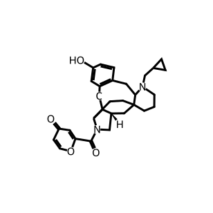 O=C(c1cc(=O)cco1)N1C[C@H]2CC34CCCN(CC5CC5)C3Cc3ccc(O)cc3CC2C1CC4